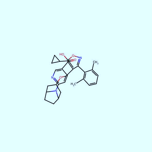 Cc1cccc(C)c1-c1noc(C2CC2)c1COC1CC2CCC(C1)N2c1ccc(C(=O)O)cn1